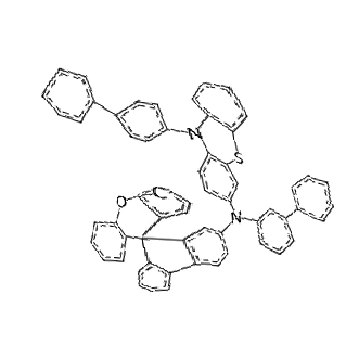 c1ccc(-c2ccc(N3c4ccccc4Sc4cc(N(c5cccc(-c6ccccc6)c5)c5ccc6c(c5)C5(c7ccccc7Oc7ccccc75)c5ccccc5-6)ccc43)cc2)cc1